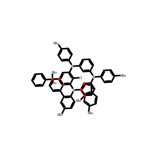 CC(C)(C)c1ccc(N(c2ccc(C(C)(C)C)cc2)c2cccc(N(c3ccc(C(C)(C)C)cc3)c3cc([Si](c4ccccc4)(C(C)(C)C)C(C)(C)C)cc(N(c4ccc(C(C)(C)C)cc4-c4ccccc4)c4csc5ccc(C(C)(C)C)cc45)c3Cl)c2)cc1